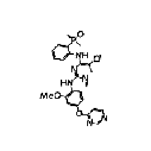 C=N/C(=N\C(Nc1ccccc1P(C)(C)=O)=C(/C)Cl)Nc1ccc(Oc2ccncn2)cc1OC